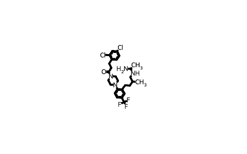 CC(CCc1cc(C(F)(F)F)ccc1N1CCN(C(=O)CCc2ccc(Cl)cc2Cl)CC1)CNC(C)N